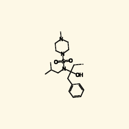 [CH2]CC(O)(Cc1ccccc1)N(CC(C)C)S(=O)(=O)N1CCN(C)CC1